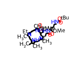 C=Cc1c(C)c2cc3nc(c(CC(=O)OC)c4[nH]c(cc5nc(cc1[nH]2)C(C)=C5CC)c(C)c4C(=O)OC)[C@@H](CCC(=O)N[C@@H](CCCCNC(=O)OC(C)(C)C)C(=O)OC)[C@@H]3C